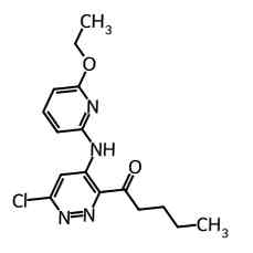 CCCCC(=O)c1nnc(Cl)cc1Nc1cccc(OCC)n1